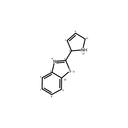 C1=CC(c2nc3ccccc3s2)NC1